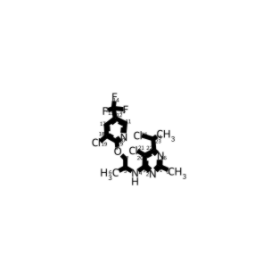 Cc1nc(NC(C)COc2ncc(C(F)(F)F)cc2Cl)c(Cl)c(C(C)Cl)n1